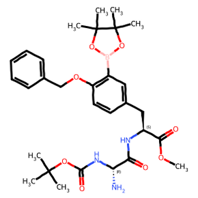 COC(=O)[C@H](Cc1ccc(OCc2ccccc2)c(B2OC(C)(C)C(C)(C)O2)c1)NC(=O)[C@H](N)NC(=O)OC(C)(C)C